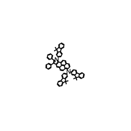 CC1(C)c2ccccc2-c2ccc(N(c3ccc4c(c3)C(C)(C)c3ccccc3-4)c3ccc4ccc5c6c(ccc3c46)cc3c(-c4ccccc4)c(-c4ccccc4)n(-c4ccc6c(c4)C(C)(C)c4ccccc4-6)c35)cc21